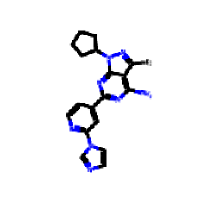 CCc1nn(C2CCCC2)c2nc(-c3ccnc(-n4ccnc4)c3)nc(N)c12